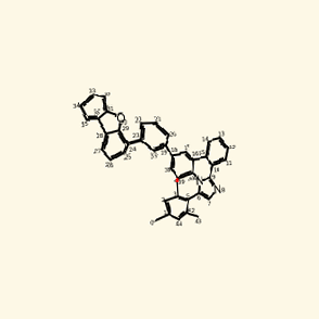 Cc1cc(C)c(-c2cnc3c4ccccc4c4cc(-c5cccc(-c6cccc7c6oc6ccccc67)c5)ccc4n23)c(C)c1